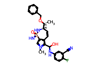 C[C@@H](OCc1ccccc1)[C@H]1C=Cc2c(cn(C)c2C(O)Nc2ccc(F)c(C#N)c2)S(=N)(=O)N1